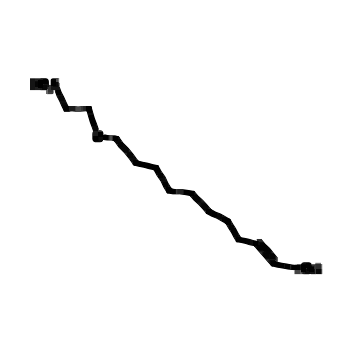 CCCCCCCCC=CCCCCCCCCOCCS(=O)(=O)O